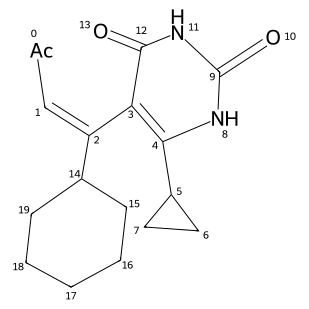 CC(=O)/C=C(\c1c(C2CC2)[nH]c(=O)[nH]c1=O)C1CCCCC1